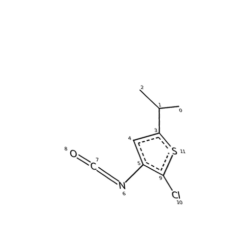 CC(C)c1cc(N=C=O)c(Cl)s1